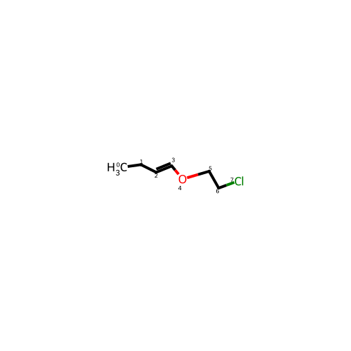 CCC=COCCCl